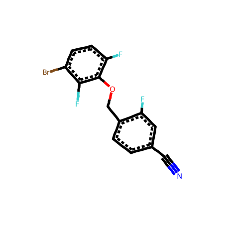 N#Cc1ccc(COc2c(F)ccc(Br)c2F)c(F)c1